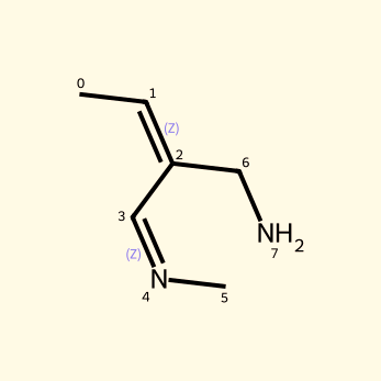 C/C=C(\C=N/C)CN